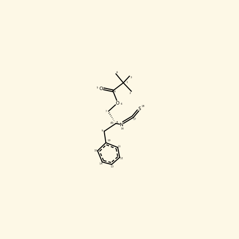 CC(C)(C)C(=O)OC[C@@H](Cc1ccccc1)N=C=S